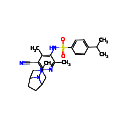 Cc1nc(N2C3CCC2CN(C)C3)c(C#N)c(C)c1NS(=O)(=O)c1ccc(C(C)C)cc1